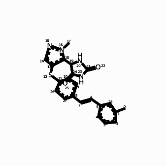 Cc1cccc(/C=C/c2ccc(Sc3cnn(C)c3C3NC(=O)NC3=O)cc2)c1